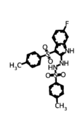 Cc1ccc(S(=O)(=O)NNc2[nH]c3cc(F)ccc3c2S(=O)(=O)c2ccc(C)cc2)cc1